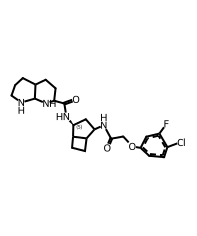 O=C(COc1ccc(Cl)c(F)c1)NC1C[C@H](NC(=O)C2CCC3CCCNC3N2)C2CCC12